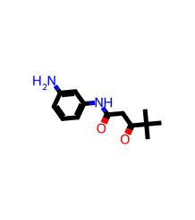 CC(C)(C)C(=O)CC(=O)Nc1cccc(N)c1